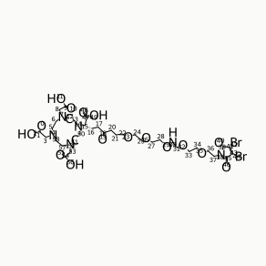 O=C(O)CN1CCN(CC(=O)O)CCN([C@@H](CCC(=O)CCCOCCOCCONCOCCOCCN2C(=O)C(Br)=C(Br)C2=O)C(=O)O)CCN(CC(=O)O)CC1